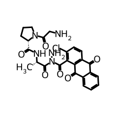 C[C@H](NC(=O)[C@@H]1CCCN1C(=O)CN)C(=O)N(N)C(=O)c1c(Cl)ccc2c1C(=O)c1ccccc1C2=O